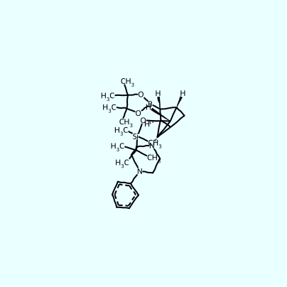 CC1(C)OB([C@@H]2[C@@H]3CC4[C@H]2[C@@]4(N2CCN(c4ccccc4)CC2)[C@@H]3O[Si](C)(C)C(C)(C)C)OC1(C)C